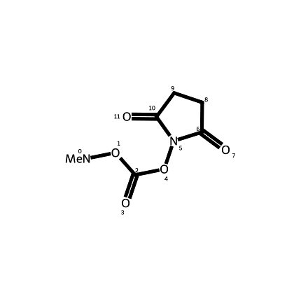 CNOC(=O)ON1C(=O)CCC1=O